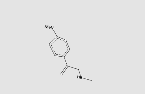 C=C(CBC)c1ccc(NC)cc1